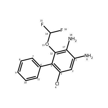 Nc1cc(Cl)c(-c2ccccc2)c(OC(F)F)c1N